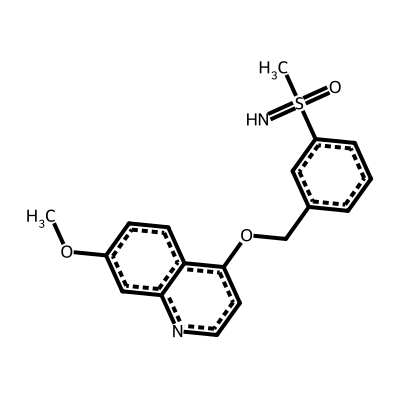 COc1ccc2c(OCc3cccc(S(C)(=N)=O)c3)ccnc2c1